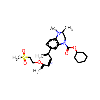 C=C(/C=C\C(=C)c1ccc2c(c1)N(C(=O)OC1CCCCC1)CC(C)N2C(C)=O)OCCS(C)(=O)=O